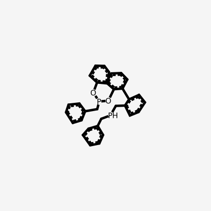 c1ccc(CPCc2ccccc2-c2ccccc2OP(Cc2ccccc2)Oc2ccccc2)cc1